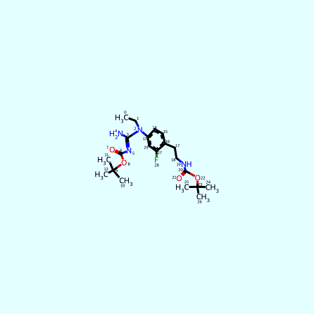 CCN(C(N)=NC(=O)OC(C)(C)C)c1ccc(CCNC(=O)OC(C)(C)C)c(F)c1